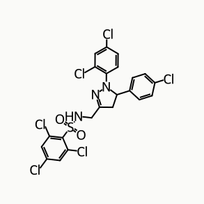 O=S(=O)(NCC1=NN(c2ccc(Cl)cc2Cl)C(c2ccc(Cl)cc2)C1)c1c(Cl)cc(Cl)cc1Cl